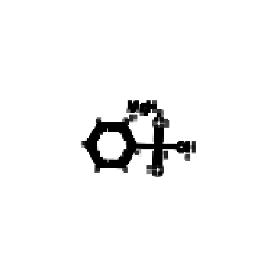 O=S(=O)(O)c1ccccc1.[MgH2]